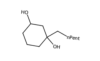 CCCCCCC1(O)CCCC(O)C1